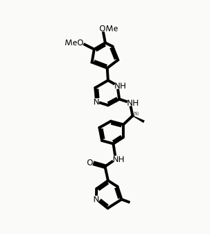 COc1ccc(C2C=NC=C(N[C@@H](C)c3cccc(NC(=O)c4cncc(C)c4)c3)N2)cc1OC